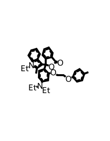 CCN(CC)c1ccc(C2(c3c(C)n(CC)c4ccccc34)OC(=O)c3ccccc32)c(OCCOc2ccc(C)cc2)c1